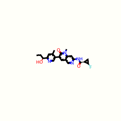 CC[C@H](O)c1cc(C)c(-c2cc3cnc(NC(=O)[C@H]4C[C@H]4F)cc3n(C)c2=O)cn1